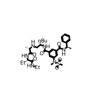 CCCC[C@@H](CN[C@@H](C)C(=O)N[C@@H](CC)C(=O)NCC)NC(=O)c1cc(C(=O)N[C@H](C)c2ccccc2)cc(N(C)S(C)(=O)=O)c1